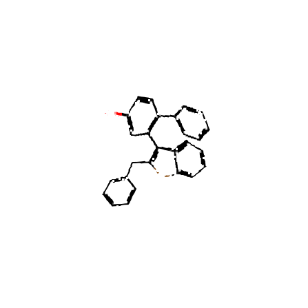 Oc1ccc(-c2ccccc2)c(-c2c(Cc3ccccc3)sc3ccccc23)c1